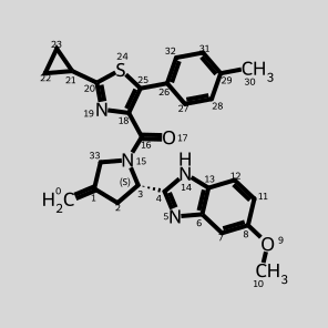 C=C1C[C@@H](c2nc3cc(OC)ccc3[nH]2)N(C(=O)c2nc(C3CC3)sc2-c2ccc(C)cc2)C1